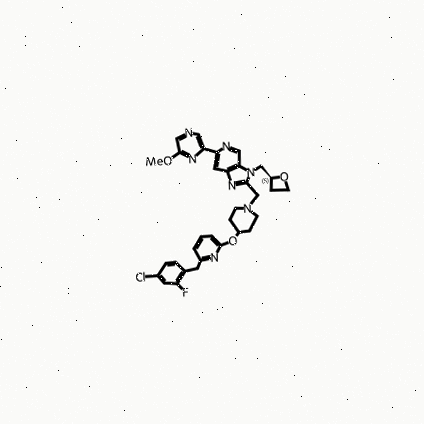 COc1cncc(-c2cc3nc(CN4CCC(Oc5cccc(Cc6ccc(Cl)cc6F)n5)CC4)n(C[C@@H]4CCO4)c3cn2)n1